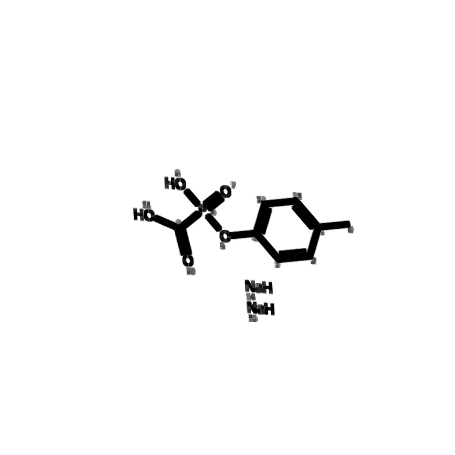 Cc1ccc(OP(=O)(O)C(=O)O)cc1.[NaH].[NaH]